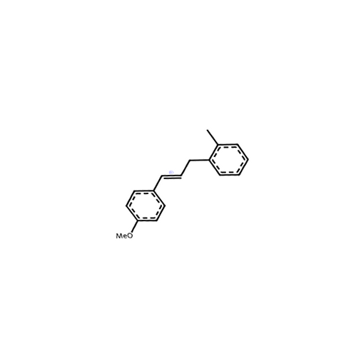 COc1ccc(/C=C/Cc2ccccc2C)cc1